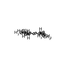 COC(=O)N[C@H](C(=O)N1CCCC1c1nc2ccc(-c3ccc4cc(-c5ccc6nc([C@@H]7CCCN7C(=O)OC(C)(C)C)[nH]c6c5)ccc4c3)cc2[nH]1)C(C)C